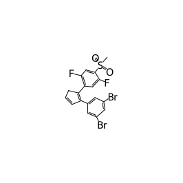 CS(=O)(=O)c1cc(F)c(C2=C(c3cc(Br)cc(Br)c3)C=CC2)cc1F